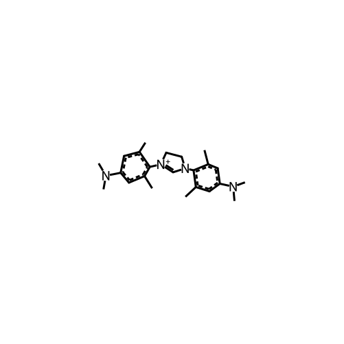 Cc1cc(N(C)C)cc(C)c1N1C=[N+](c2c(C)cc(N(C)C)cc2C)CC1